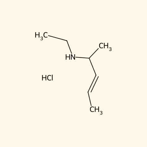 C/C=C/C(C)NCC.Cl